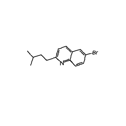 CC(C)CCc1ccc2cc(Br)ccc2n1